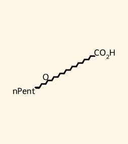 CCCCCC=CCCC(=O)CCCCCCCCCCCCCCCC(=O)O